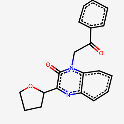 O=C(Cn1c(=O)c(C2CCCO2)nc2ccccc21)c1ccccc1